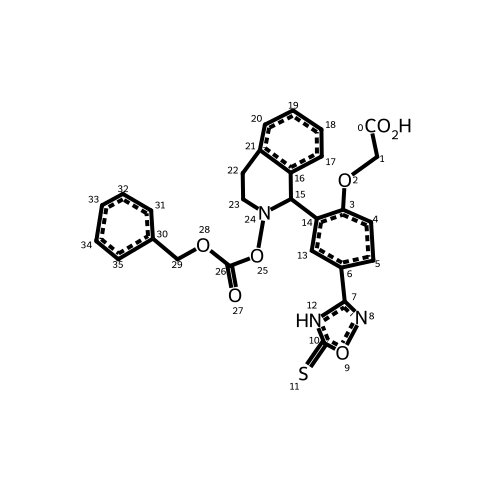 O=C(O)COc1ccc(-c2noc(=S)[nH]2)cc1C1c2ccccc2CCN1OC(=O)OCc1ccccc1